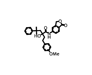 COc1ccc(CCC(O)(CC(C)(C)c2ccccc2)C(=O)Nc2ccc3c(c2)COC3=O)cc1